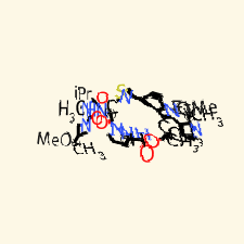 CCn1c(-c2cccnc2[C@H](C)OC)c2c3cc(ccc31)-c1csc(n1)C[C@H](NC(=O)C(C(C)C)N(C)C(=O)N1CC([C@H](C)OC)C1)C(=O)N1CCC[C@H](N1)C(=O)OCC(C)(C)C2